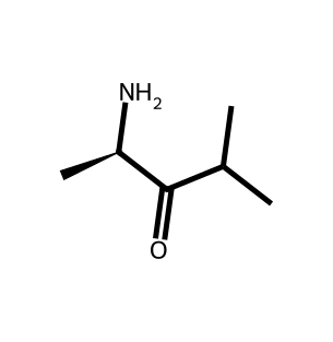 CC(C)C(=O)[C@@H](C)N